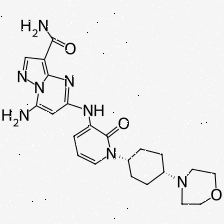 NC(=O)c1cnn2c(N)cc(Nc3cccn([C@H]4CC[C@@H](N5CCOCC5)CC4)c3=O)nc12